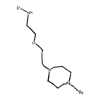 CCNCCOCCN1CCN(C(C)C)CC1